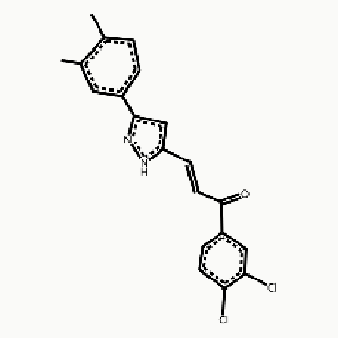 Cc1ccc(-c2cc(/C=C/C(=O)c3ccc(Cl)c(Cl)c3)[nH]n2)cc1C